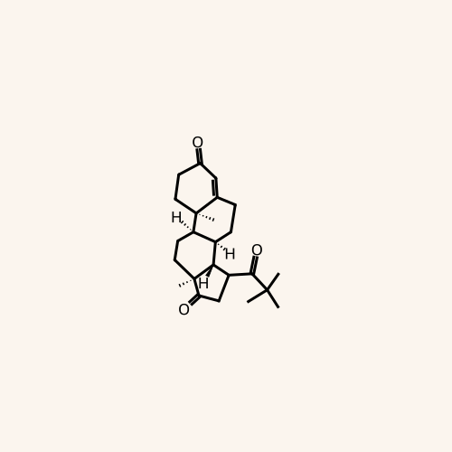 CC(C)(C)C(=O)C1CC(=O)[C@@]2(C)CC[C@@H]3[C@@H](CCC4=CC(=O)CC[C@@]43C)[C@H]12